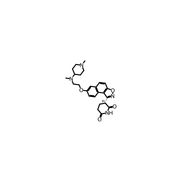 CN1CCC(N(C)CCOc2ccc3c(ccc4onc([C@H]5CCC(=O)NC5=O)c43)c2)CC1